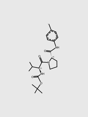 [CH2]c1ccc(NC(=O)[C@@H]2CCCN2C(=O)[C@@H](NC(=O)OC(C)(C)C)C(C)C)cc1